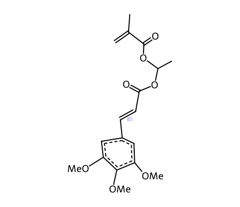 C=C(C)C(=O)OC(C)OC(=O)/C=C/c1cc(OC)c(OC)c(OC)c1